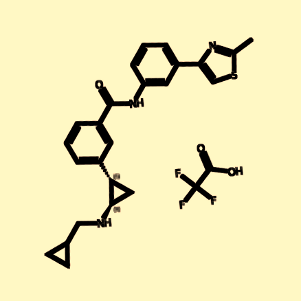 Cc1nc(-c2cccc(NC(=O)c3cccc([C@@H]4C[C@H]4NCC4CC4)c3)c2)cs1.O=C(O)C(F)(F)F